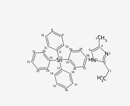 CCc1nc(C)c[nH]1.c1cc[c]([Sn]([c]2ccccc2)([c]2ccccc2)[c]2ccccc2)cc1